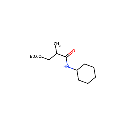 CCOC(=O)CC(C)C(=O)NC1CCCCC1